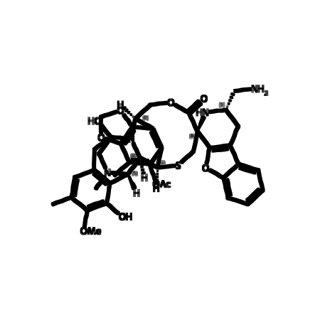 COc1c(C)cc2c(c1O)[C@H]1[C@@H]3[C@@H]4SC[C@]5(N[C@H](CN)Cc6c5oc5ccccc65)C(=O)OC[C@@H](c5c6c(c(C)c(OC(C)=O)c54)OCO6)N3C(O)(C2)CN1C